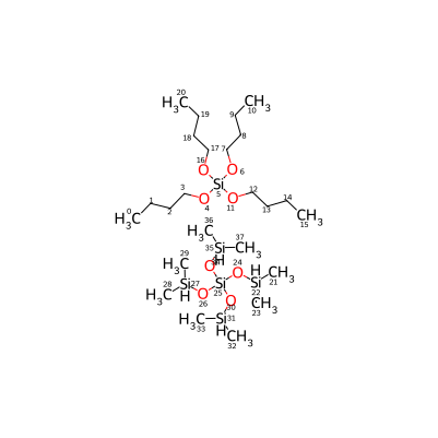 CCCCO[Si](OCCCC)(OCCCC)OCCCC.C[SiH](C)O[Si](O[SiH](C)C)(O[SiH](C)C)O[SiH](C)C